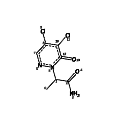 CC(C(N)=O)n1ncc(Cl)c(Cl)c1=O